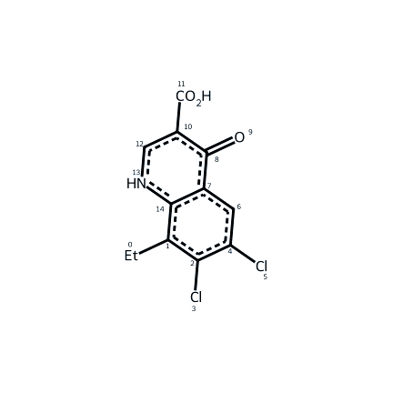 CCc1c(Cl)c(Cl)cc2c(=O)c(C(=O)O)c[nH]c12